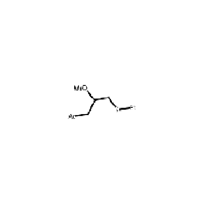 CCSCC(CC(C)=O)OC